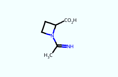 CC(=N)N1CCC1C(=O)O